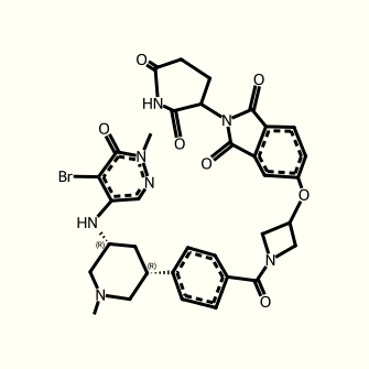 CN1C[C@H](Nc2cnn(C)c(=O)c2Br)C[C@H](c2ccc(C(=O)N3CC(Oc4ccc5c(c4)C(=O)N(C4CCC(=O)NC4=O)C5=O)C3)cc2)C1